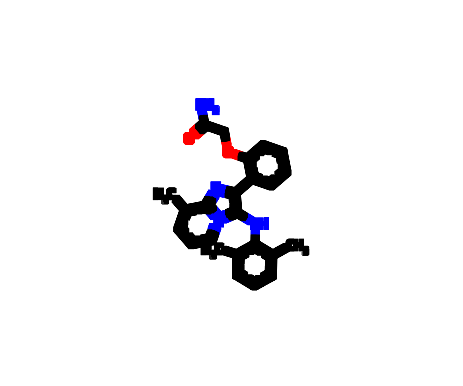 Cc1cccc(C)c1Nc1c(-c2ccccc2OCC(N)=O)nc2c(C)cccn12